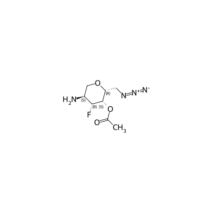 CC(=O)O[C@@H]1[C@H](F)[C@@H](N)CO[C@@H]1CN=[N+]=[N-]